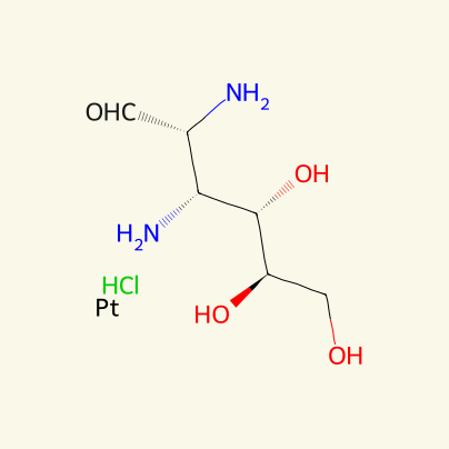 Cl.N[C@@H]([C@H](O)[C@H](O)CO)[C@@H](N)C=O.[Pt]